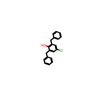 Oc1c(Cc2ccccc2)cc(Cl)cc1Cc1ccccc1